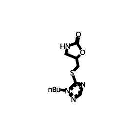 CCCCn1ncnc1SCC1CNC(=O)O1